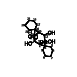 O[C@H]1[C@@]2(O)C3(CCCCC3)[C@]2(O)[C@H](O)[C@]2(O)C3(CCCCC3)[C@]12O